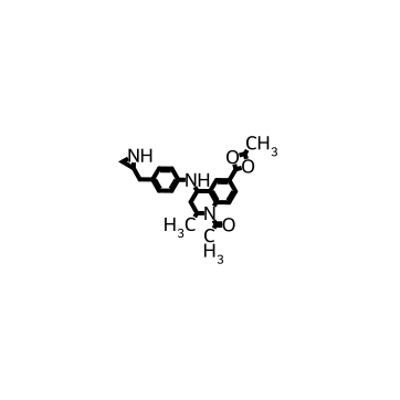 CC(=O)N1c2ccc(C3OC(C)O3)cc2C(Nc2ccc(CC3CN3)cc2)CC1C